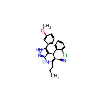 CCCC1=C(C#N)C(c2ccccc2Cl)c2c(n[nH]c2-c2cccc(OC)c2)N1